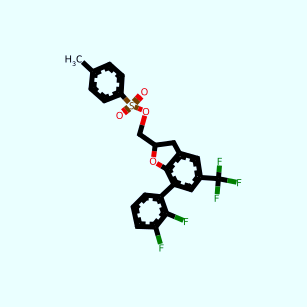 Cc1ccc(S(=O)(=O)OCC2Cc3cc(C(F)(F)F)cc(-c4cccc(F)c4F)c3O2)cc1